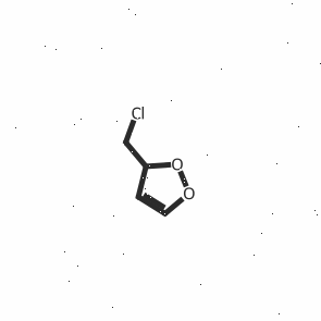 ClCC1C=COO1